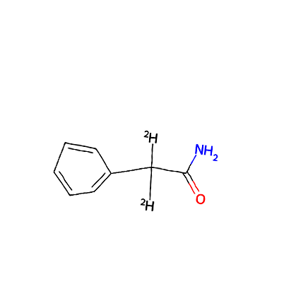 [2H]C([2H])(C(N)=O)c1ccccc1